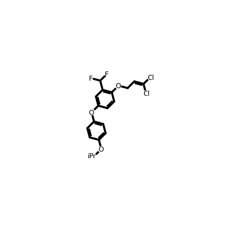 CC(C)Oc1ccc(Oc2ccc(OCC=C(Cl)Cl)c(C(F)F)c2)cc1